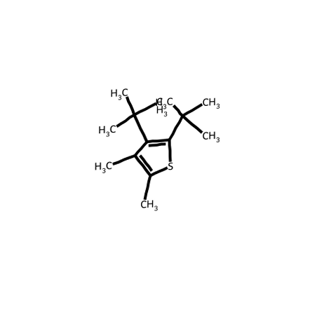 Cc1sc(C(C)(C)C)c(C(C)(C)C)c1C